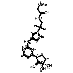 COCC(=O)NCC(C)(C)n1cc(Nc2nccc(N3CC[C@](O)(C#N)C3=O)n2)cn1